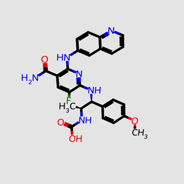 COc1ccc([C@H](Nc2nc(Nc3ccc4ncccc4c3)c(C(N)=O)cc2F)[C@H](C)NC(=O)O)cc1